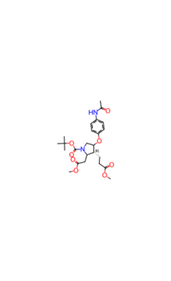 COC(=O)CC[C@H]1C(Oc2ccc(NC(C)=O)cc2)CN(C(=O)OC(C)(C)C)C1CC(=O)OC